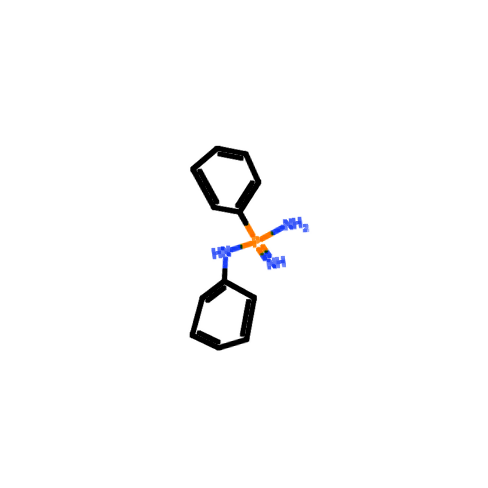 N=P(N)(Nc1ccccc1)c1ccccc1